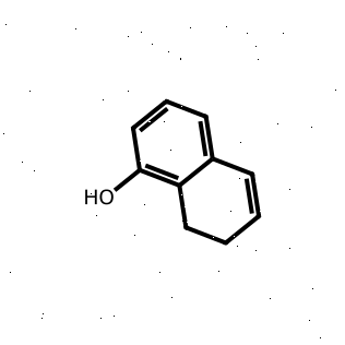 Oc1cccc2c1CCC=C2